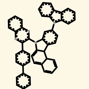 C1=CC2=CC=C3C(c4ccc(-n5c6ccccc6c6ccccc65)cc4N3c3nc4ccccc4nc3-c3ccc(-c4ccccc4)cc3)C2C=C1